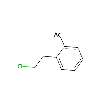 CC(=O)c1ccccc1CCCl